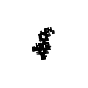 C=C1CSCC(C(=O)Nc2c(Br)cc(Br)cc2Br)SC1